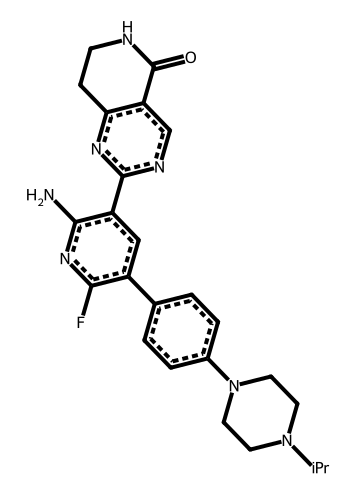 CC(C)N1CCN(c2ccc(-c3cc(-c4ncc5c(n4)CCNC5=O)c(N)nc3F)cc2)CC1